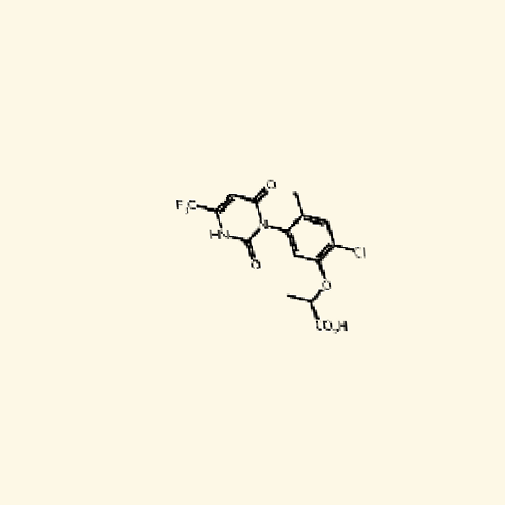 Cc1cc(Cl)c(O[C@H](C)C(=O)O)cc1-n1c(=O)cc(C(F)(F)F)[nH]c1=O